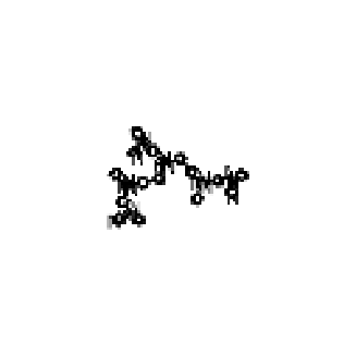 c1ccc(-c2nc(-c3ccc(-c4cccc(-c5nc(-c6ccc(-c7nc8ccccc8n7-c7cccnc7)cc6)nc(-c6cccc(-c7ccc(-c8nc(-c9ccccc9)nc(-c9cccc(-c%10nc%11ccccc%11n%10-c%10ccncc%10)c9)n8)cc7)c6)n5)c4)cc3)nc(-c3ccc(-c4nc5ccccc5n4-c4ccncc4)cc3)n2)cc1